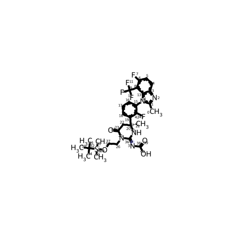 Cc1nc2ccc(F)c(C(F)(F)F)c2n1-c1cccc([C@]2(C)CC(=O)N(CCO[Si](C)(C)C(C)(C)C)/C(=N/C(=O)O)N2)c1F